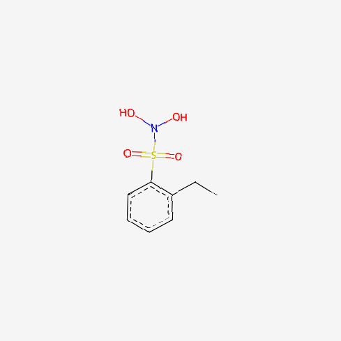 CCc1ccccc1S(=O)(=O)N(O)O